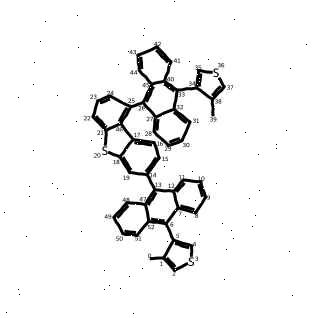 Cc1cscc1-c1c2ccccc2c(-c2ccc3c(c2)sc2cccc(-c4c5ccccc5c(-c5cscc5C)c5ccccc45)c23)c2ccccc12